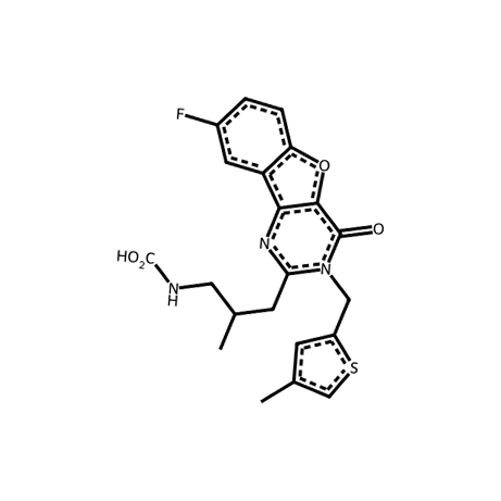 Cc1csc(Cn2c(CC(C)CNC(=O)O)nc3c(oc4ccc(F)cc43)c2=O)c1